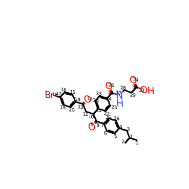 CC(C)Cc1ccc(C(=O)C(CC(=O)c2ccc(Br)cc2)c2ccc(C(=O)NCCC(=O)O)cc2)cc1